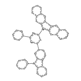 c1ccc(-c2nc(-c3ccc4c5ccccc5n(-c5ccccc5)c4c3)nc(-n3c4cc5ccccc5cc4c4cc5ccccc5cc43)n2)cc1